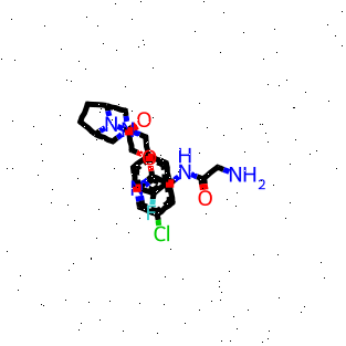 NCC(=O)Nc1cc(Cl)cnc1OCC(=O)N1C2CCC1CN(Cc1ccc(F)cc1)C2